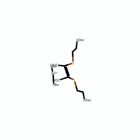 CCCCCCCCCCCCS/C(C(=O)[O-])=C(\SCCCCCCCCCCCC)C(=O)[O-].CCC[CH2][Sn+2][CH2]CCC